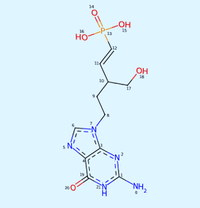 Nc1nc2c(ncn2CCC(C=CP(=O)(O)O)CO)c(=O)[nH]1